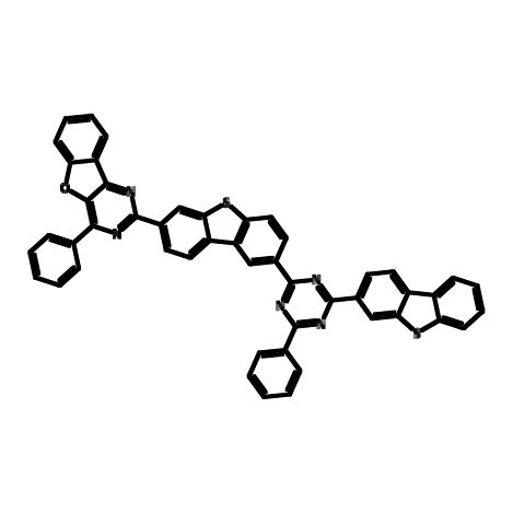 c1ccc(-c2nc(-c3ccc4c(c3)sc3ccccc34)nc(-c3ccc4sc5cc(-c6nc(-c7ccccc7)c7oc8ccccc8c7n6)ccc5c4c3)n2)cc1